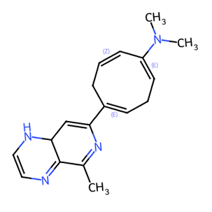 CC1=NC(/C2=C/C/C=C(N(C)C)\C=C/C2)=CC2NC=CN=C12